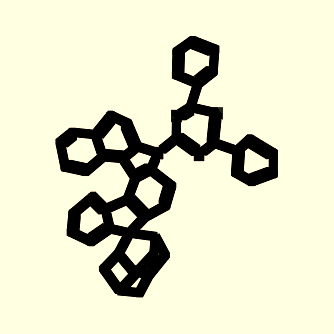 c1ccc(-c2nc(-c3ccccc3)nc(-n3c4ccc5c(c4c4c6ccccc6ccc43)-c3ccccc3C53C4CC5CC(C4)CC3C5)n2)cc1